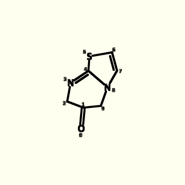 O=C1CN=C2SC=CN2C1